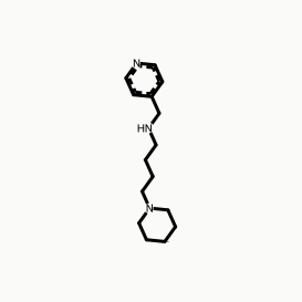 [CH]1CCN(CCCCNCc2ccncc2)CC1